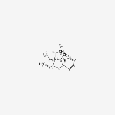 C=CC(Cc1ccccc1)[N+](CC)(CC)CC.[Br-]